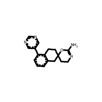 NC1=NCCC2(CCc3c(cccc3-c3cncnc3)C2)O1